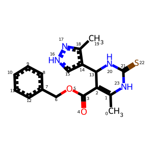 CC1=C(C(=O)OCc2ccccc2)C(c2c[nH]nc2C)NC(=S)N1